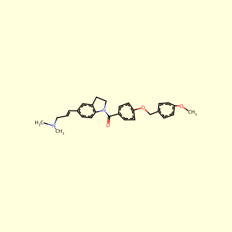 COc1ccc(COc2ccc(C(=O)N3CCc4cc(/C=C/CN(C)C)ccc43)cc2)cc1